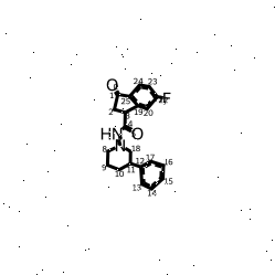 O=C1CC(C(=O)NN2CCCC(c3ccccc3)C2)c2cc(F)ccc21